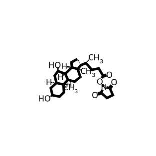 C[C@H](CCC(=O)ON1C(=O)CCC1=O)[C@H]1CC[C@H]2[C@@H]3[C@H](O)C[C@@H]4C[C@H](O)CC[C@]4(C)[C@H]3CC[C@]12C